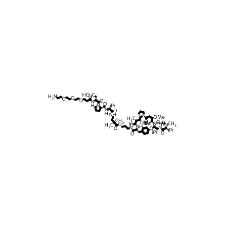 CC[C@H](C)[C@@H]([C@@H](CC(=O)N1CCC[C@H]1[C@H](OC)[C@@H](C)C(=O)N[C@@H](Cc1ccccc1)C(=O)NCCCOC(=O)C(C)(C)CCNC(=O)[C@@H](NC(=O)[C@@H]1CCCN1C(=O)[C@H](CC(=O)O)NC(=O)CCOCCOCCOCCN)C(C)C)OC)N(C)C(=O)[C@@H](NC(=O)[C@H](C(C)C)N(C)C)C(C)C